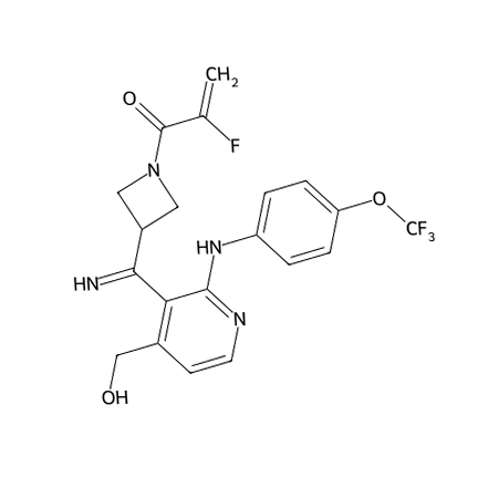 C=C(F)C(=O)N1CC(C(=N)c2c(CO)ccnc2Nc2ccc(OC(F)(F)F)cc2)C1